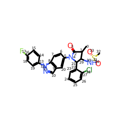 CC1C(=O)N(c2ccc3c(cnn3-c3ccc(F)cc3)c2)C(c2ccccc2Cl)C1NS(C)(=O)=O